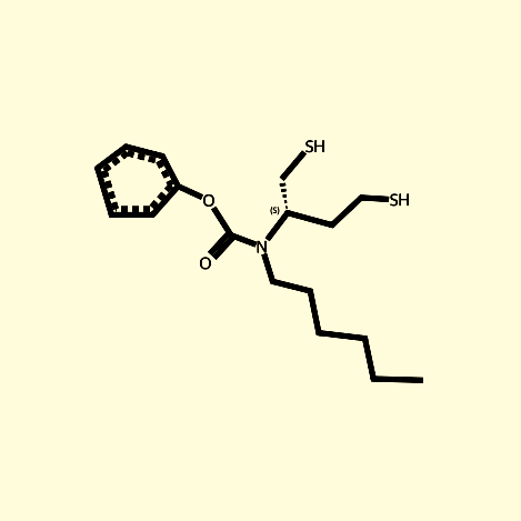 CCCCCCN(C(=O)Oc1ccccc1)[C@H](CS)CCS